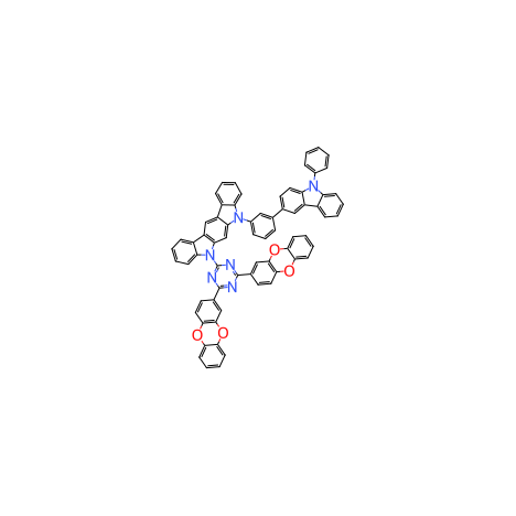 c1ccc(-n2c3ccccc3c3cc(-c4cccc(-n5c6ccccc6c6cc7c8ccccc8n(-c8nc(-c9ccc%10c(c9)Oc9ccccc9O%10)nc(-c9ccc%10c(c9)Oc9ccccc9O%10)n8)c7cc65)c4)ccc32)cc1